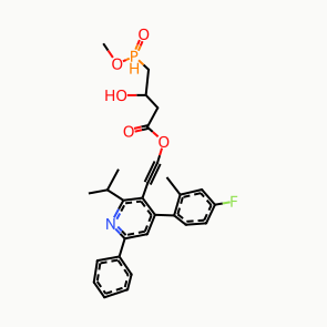 CO[PH](=O)CC(O)CC(=O)OC#Cc1c(-c2ccc(F)cc2C)cc(-c2ccccc2)nc1C(C)C